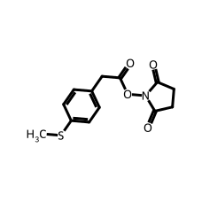 CSc1ccc(CC(=O)ON2C(=O)CCC2=O)cc1